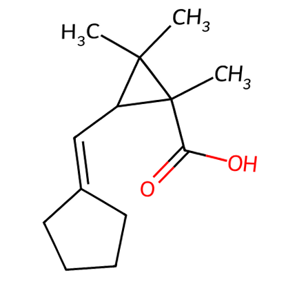 CC1(C)C(C=C2CCCC2)C1(C)C(=O)O